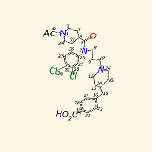 CC(=O)N1CCC(C(=O)N(CCCN2CCC(Cc3ccc(C(=O)O)cc3)CC2)c2ccc(Cl)c(Cl)c2)CC1